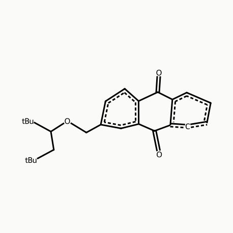 CC(C)(C)CC(OCc1ccc2c(c1)C(=O)c1ccccc1C2=O)C(C)(C)C